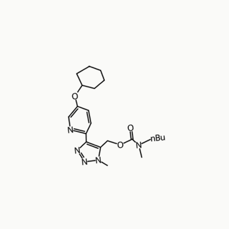 CCCCN(C)C(=O)OCc1c(-c2ccc(OC3CCCCC3)cn2)nnn1C